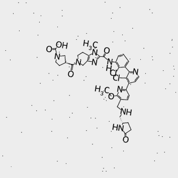 COc1nc(-c2ccnc(-c3cccc(NC(=O)c4nc5c(n4C)CCN(C(=O)[C@H]4CCN(C(=O)O)C4)C5)c3Cl)c2Cl)ccc1CNC[C@@H]1CCC(=O)N1